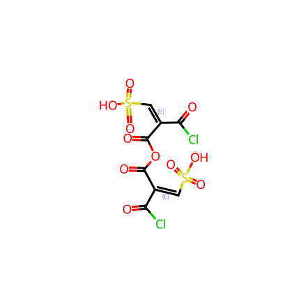 O=C(Cl)/C(=C/S(=O)(=O)O)C(=O)OC(=O)/C(=C\S(=O)(=O)O)C(=O)Cl